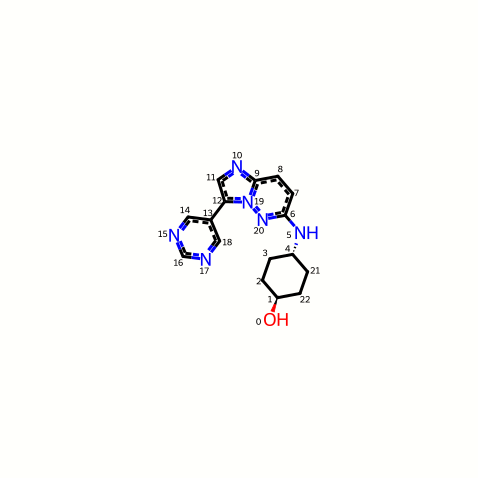 O[C@H]1CC[C@H](Nc2ccc3ncc(-c4cncnc4)n3n2)CC1